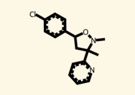 CN1OC(c2ccc(Cl)cc2)CC1(C)c1ccccn1